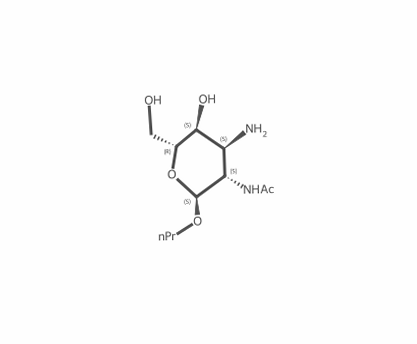 CCCO[C@H]1O[C@H](CO)[C@@H](O)[C@@H](N)[C@@H]1NC(C)=O